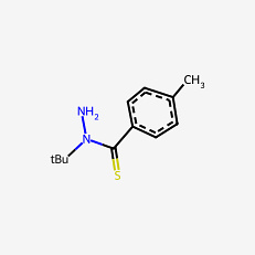 Cc1ccc(C(=S)N(N)C(C)(C)C)cc1